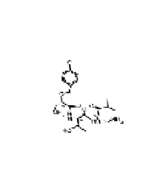 CC(C)C(=O)[C@H](CN)NC(=O)[C@@H](NC(=O)[C@H](CN)OCc1ccc(Cl)cc1)C(C)O